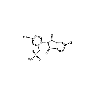 CS(=O)(=O)Cc1cc([N+](=O)[O-])ccc1N1C(=O)c2ccc(Cl)cc2C1=O